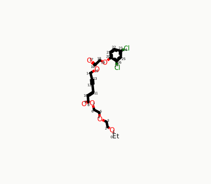 CCOCCOCCOC(=O)C=CC#CCOC(=O)COc1ccc(Cl)cc1Cl